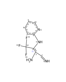 N=C/C(N)=C(\Nc1ccccn1)C(F)(F)F